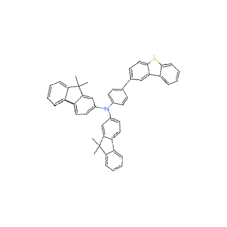 CC1(C)c2ccccc2-c2ccc(N(c3ccc(-c4ccc5sc6ccccc6c5c4)cc3)c3ccc4c(c3)C(C)(C)c3ccccc3-4)cc21